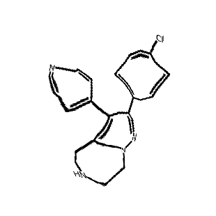 Clc1ccc(-c2nn3c(c2-c2ccncc2)CNCC3)cc1